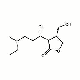 CCC(C)CC[C@H](O)[C@@H]1C(=O)OC[C@H]1CO